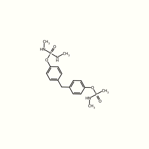 CNP(C)(=O)Oc1ccc(Cc2ccc(OP(=O)(NC)NC)cc2)cc1